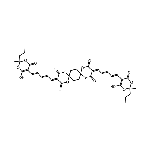 CCCC1(C)OC(=O)C(/C=C/C=C/C=C2C(=O)OC3(CCC4(CC3)OC(=O)C(=C/C=C/C=C/C3=C(O)OC(C)(CCC)OC3=O)C(=O)O4)OC2=O)=C(O)O1